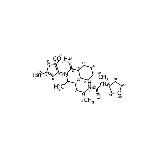 CC(CCC(C)N(c1cc(C(C)(C)C)sc1C(=O)O)C(=O)[C@H]1CC[C@H](C)CC1)NC(=O)O[C@@H]1CCOC1